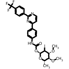 CO[C@H]1[C@H](C)O[C@@H](OC(=O)Nc2ccc(-c3ccnc(-c4ccc(C(F)(F)F)cc4)n3)cc2)C(I)[C@@H]1OC